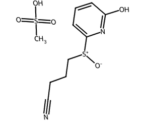 CS(=O)(=O)O.N#CCCC[S+]([O-])c1cccc(O)n1